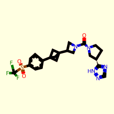 O=C(N1CC(C23CC(c4ccc(S(=O)(=O)C(F)(F)F)cc4)(C2)C3)C1)N1CC[C@H](c2ncn[nH]2)C1